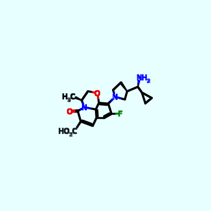 C[C@H]1COc2c(N3CC[C@@H]([C@@H](N)C4CC4)C3)c(F)cc3cc(C(=O)O)c(=O)n1c23